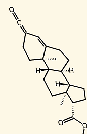 COC(=O)[C@H]1CC[C@H]2[C@@H]3CCC4=CC(=C=O)CC[C@]4(C)[C@H]3CC[C@]12C